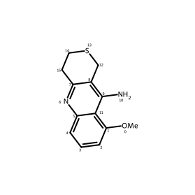 COc1cccc2nc3c(c(N)c12)CSCC3